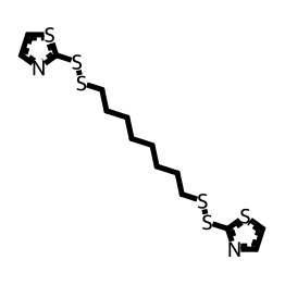 c1csc(SSCCCCCCCCSSc2nccs2)n1